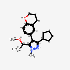 Cn1nc(C2CCCC2)c(-c2ccc3c(c2)CCCO3)c1C(OC(C)(C)C)C(=O)O